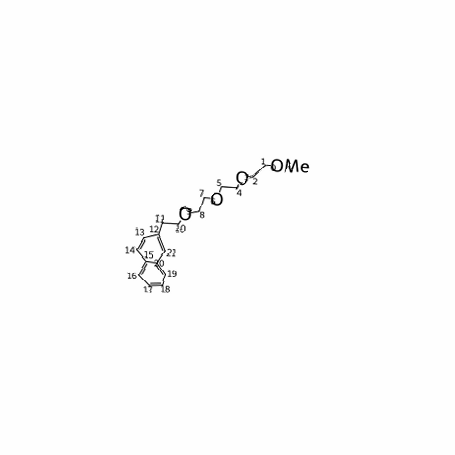 COCCOCCOCCOCCc1ccc2ccccc2c1